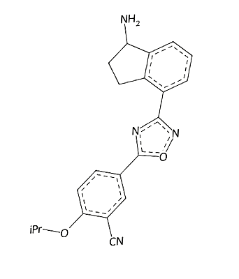 CC(C)Oc1ccc(-c2nc(-c3cccc4c3CCC4N)no2)cc1C#N